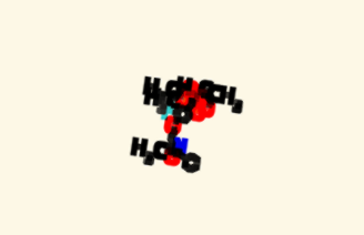 Cc1oc(-c2ccccc2)nc1CCOc1ccc(C(P2(=O)OCC(C)(C)O2)P2(=O)OCC(C)(C)O2)cc1F